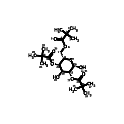 CC(C)(C)C(=O)OC[C@@H]1S[C@H](O)[C@H](OC(=O)C(C)(C)C)[C@@H](O)[C@@H]1OC(=O)C(C)(C)C